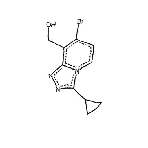 OCc1c(Br)ccn2c(C3CC3)nnc12